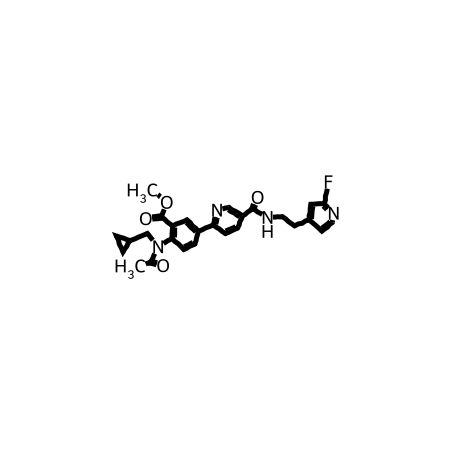 COC(=O)c1cc(-c2ccc(C(=O)NCCc3ccnc(F)c3)cn2)ccc1N(CC1CC1)C(C)=O